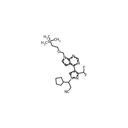 C[Si](C)(C)CCOCn1ccc2c(-c3cn(C(CC#N)C4CCCC4)nc3C(F)F)ncnc21